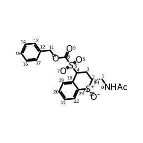 CC(=O)NC[C@H]1CC(S(=O)(=O)C(=O)OCc2ccccc2)c2ccccc2[S+]1[O-]